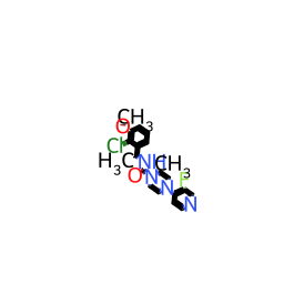 COc1cccc([C@@H](C)NC(=O)N2CCN(c3ccncc3F)C[C@H]2C)c1Cl